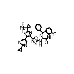 O=C1Nc2c(F)cccc2C(c2ccccc2)=N[C@H]1Nc1nnc(-c2nc(C3(C(F)(F)F)CC3)sc2-c2cnc(C3CC3)nc2)o1